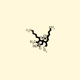 CCCCCCC(CC)C(CS(=O)(=O)O)(C(CC)CCCCCC)S(=O)(=O)O